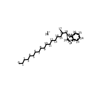 CCCCCCCCCCCCCCCCC(C)C[n+]1csc2ccccc21.[I-]